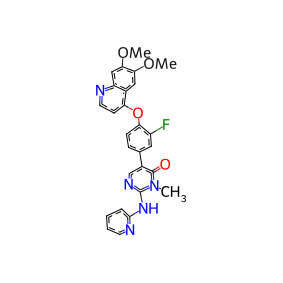 COc1cc2nccc(Oc3ccc(-c4cnc(Nc5ccccn5)n(C)c4=O)cc3F)c2cc1OC